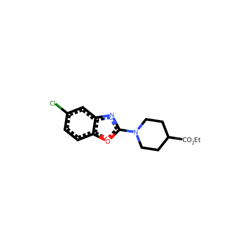 CCOC(=O)C1CCN(c2nc3cc(Cl)ccc3o2)CC1